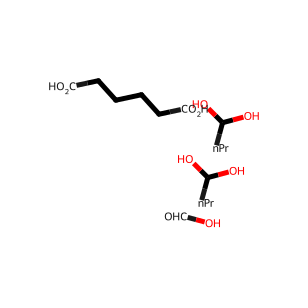 CCCC(O)O.CCCC(O)O.O=C(O)CCCCC(=O)O.O=CO